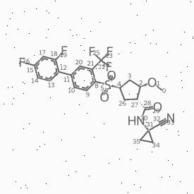 CO[C@@H]1C[C@H](S(=O)(=O)c2ccc(-c3ccc(F)cc3F)cc2C(F)(F)F)C[C@H]1C(=O)NC1(C#N)CC1